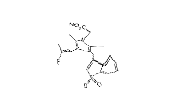 C/C(F)=C\c1c(C2=CS(=O)(=O)c3ccccc32)c(C)n(CC(=O)O)c1C